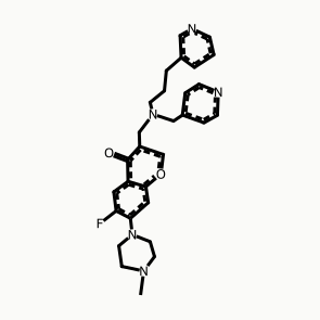 CN1CCN(c2cc3occ(CN(CCCc4cccnc4)Cc4ccncc4)c(=O)c3cc2F)CC1